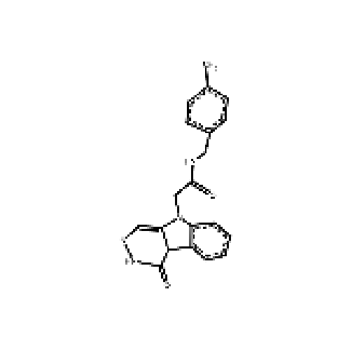 Cc1ccc(CNC(=O)CN2C3=C[N]NC(=O)C3c3ccccc32)cc1